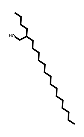 CCCCCCCCCCCCCCCC(CO)CCCC